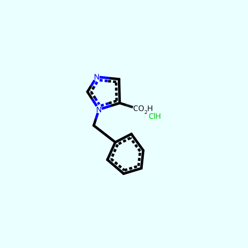 Cl.O=C(O)c1cncn1Cc1ccccc1